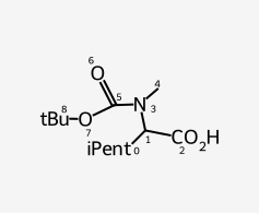 CCCC(C)C(C(=O)O)N(C)C(=O)OC(C)(C)C